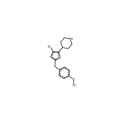 CCc1nc(Cc2ccc(OC(F)(F)F)cc2)sc1C1CCNCC1